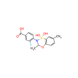 Cc1ccc2c(c1)S(O)(O)N(c1ccc(C(=O)O)cc1F)C(C)O2